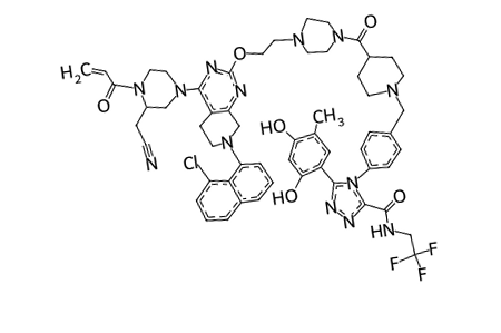 C=CC(=O)N1CCN(c2nc(OCCN3CCN(C(=O)C4CCN(Cc5ccc(-n6c(C(=O)NCC(F)(F)F)nnc6-c6cc(C)c(O)cc6O)cc5)CC4)CC3)nc3c2CCN(c2cccc4cccc(Cl)c24)C3)CC1CC#N